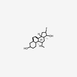 CNC1C[C@]2(C)C(O)C(F)C[C@H]2C2=CC=C3CC(O)CC[C@]3(C)[C@@H]21